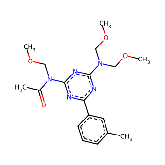 COCN(COC)c1nc(-c2cccc(C)c2)nc(N(COC)C(C)=O)n1